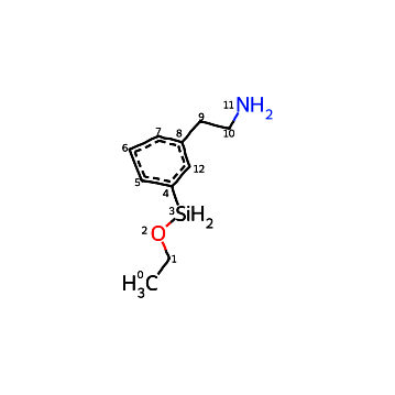 CCO[SiH2]c1cccc(CCN)c1